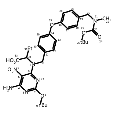 CCCCOc1nc(N)c([N+](=O)[O-])c(N(Cc2ccc(Oc3ccc(CN(C)C(=O)OC(C)(C)C)cc3)cc2)C(CC)C(=O)O)n1